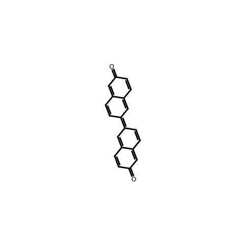 O=C1C=Cc2c/c(=c3\ccc4c(c3)C=CC(=O)C=4)ccc2=C1